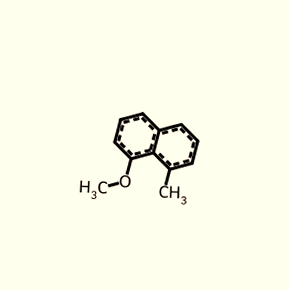 COc1cccc2cccc(C)c12